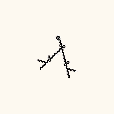 CCCCCC(CCCCC)CCOC(=O)CCCCCCCCC(CCCCCCCCC(=O)OCCC(CCCCC)CCCCC)C(=O)OCCCN1CCCC1